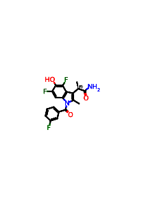 Cc1c([C@@H](C)C(N)=O)c2c(F)c(O)c(F)cc2n1C(=O)c1cccc(F)c1